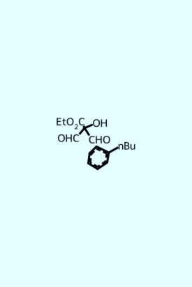 CCCCc1ccccc1.CCOC(=O)C(O)(C=O)C=O